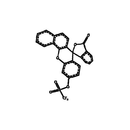 O=C1OC2(c3ccc(OS(=O)(=O)C(F)(F)F)cc3Oc3c2ccc2ccccc32)c2ccccc21